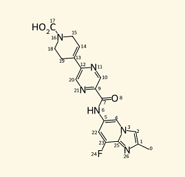 Cc1cn2cc(NC(=O)c3cnc(C4=CCN(C(=O)O)CC4)cn3)cc(F)c2n1